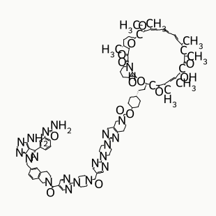 CO[C@H]1CC2CC[C@@H](C)C(O2)C(=O)C(=O)N2CCCC[C@H]2C(=O)O[C@H](CC[C@H]2CC[C@H](OC(=O)N3CCc4nc(N5CCN(c6ncc(C(=O)N7CCN(c8ncc(C(=O)N9CCc%10cc(Cn%11nc(-c%12ccc%13oc(N)nc%13c%12)c%12c(N)ncnc%12%11)ccc%10C9)cn8)CC7)cn6)CC5)ncc4C3)CC2)CC(=O)[C@H](C)/C=C(\C)[C@@H](O)CC(=O)[C@H](C)C[C@H](C)/C=C/C=C/C=C/1C